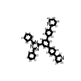 c1ccc(-c2nc(-c3ccccc3)nc(-c3cc(-c4ccc(-c5cccnc5)cc4)cc(-c4ccc(-c5ccccn5)cc4)c3)n2)cc1